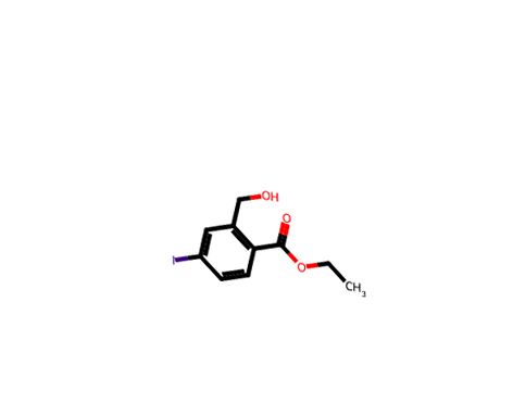 CCOC(=O)c1ccc(I)cc1CO